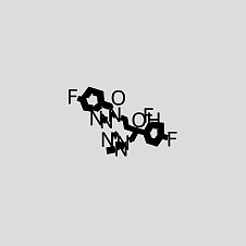 O=c1c2ccc(F)cc2nnn1CCC(O)(Cn1cncn1)c1ccc(F)cc1F